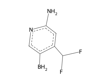 Bc1cnc(N)cc1C(F)F